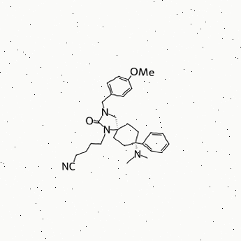 COc1ccc(CN2C[C@]3(CC[C@@](c4ccccc4)(N(C)C)CC3)N(CCCCC#N)C2=O)cc1